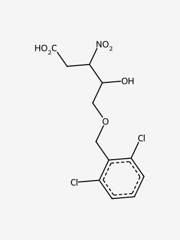 O=C(O)CC(C(O)COCc1c(Cl)cccc1Cl)[N+](=O)[O-]